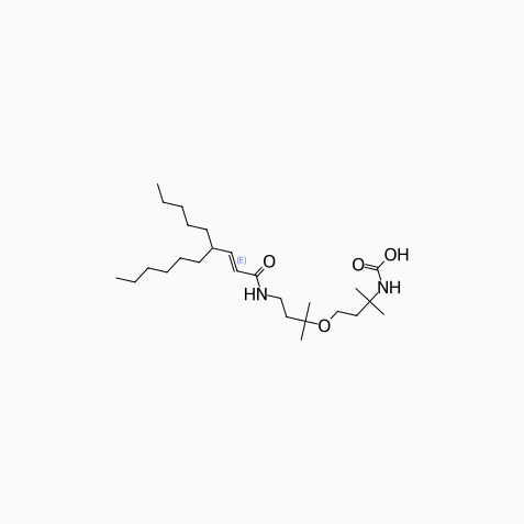 CCCCCCC(/C=C/C(=O)NCCC(C)(C)OCCC(C)(C)NC(=O)O)CCCCC